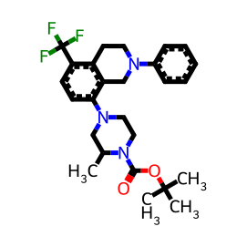 CC1CN(c2ccc(C(F)(F)F)c3c2CN(c2ccccc2)CC3)CCN1C(=O)OC(C)(C)C